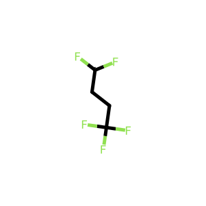 F[C](F)CCC(F)(F)F